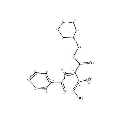 O=C(OCC1CCCCC1)c1nc(-c2ccccn2)nc(O)c1O